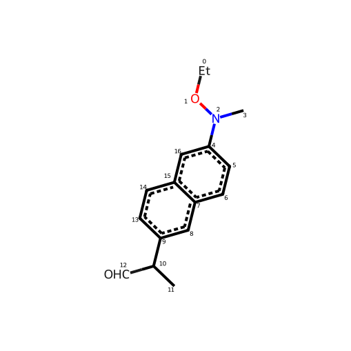 CCON(C)c1ccc2cc(C(C)C=O)ccc2c1